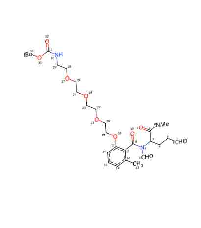 CNC(=O)C(CCC=O)N(C=O)C(=O)c1c(C)cccc1OCCOCCOCCOCCNC(=O)OC(C)(C)C